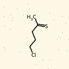 CC(=S)CCCCl